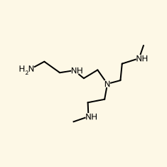 CNCCN(CCNC)CCNCCN